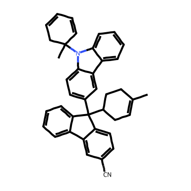 CC1=CCC(C2(c3ccc4c(c3)c3ccccc3n4C3(C)C=CC=CC3)c3ccccc3-c3cc(C#N)ccc32)CC1